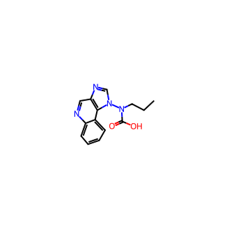 CCCN(C(=O)O)n1cnc2cnc3ccccc3c21